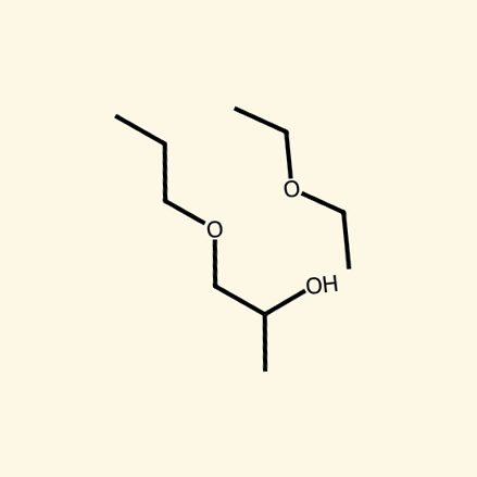 CCCOCC(C)O.CCOCC